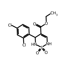 CCOC(=O)C1=CNS(=O)(=O)NC1c1ccc(Cl)cc1Cl